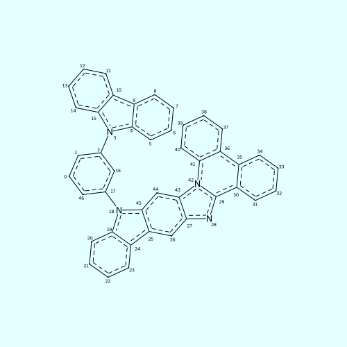 c1cc(-n2c3ccccc3c3ccccc32)cc(-n2c3ccccc3c3cc4nc5c6ccccc6c6ccccc6n5c4cc32)c1